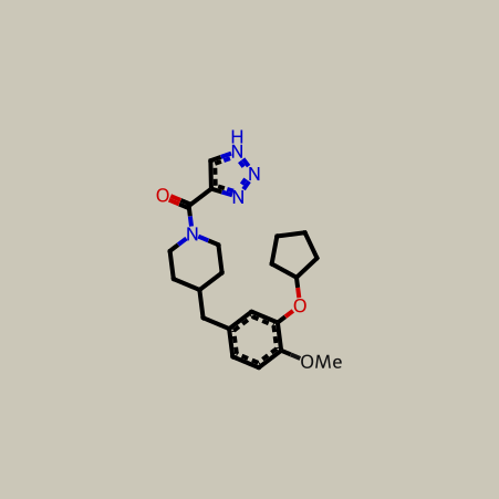 COc1ccc(CC2CCN(C(=O)c3c[nH]nn3)CC2)cc1OC1CCCC1